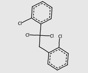 Clc1ccccc1CC(Cl)(Cl)c1ccccc1Cl